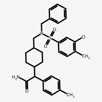 Cc1ccc(C(C(N)=O)C2CCC(CN(Cc3ccccc3)S(=O)(=O)c3ccc(C)c(Cl)c3)CC2)cc1